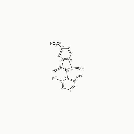 CC(C)c1cccc(C(C)C)c1N1C(=O)c2ccc(C(=O)O)cc2C1=S